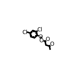 CC(=O)CC(=O)OOc1ccc(Cl)cc1Cl